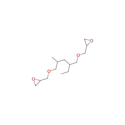 CCC(COCC1CO1)CC(C)COCC1CO1